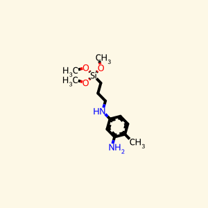 CO[Si](CCCNc1ccc(C)c(N)c1)(OC)OC